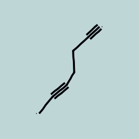 [C]#CCCC#C[CH2]